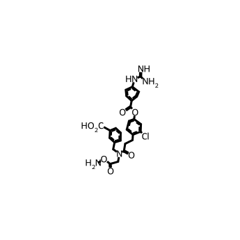 N=C(N)Nc1ccc(C(=O)Oc2ccc(CCC(=O)N(CC(=O)ON)Cc3cccc(C(=O)O)c3)c(Cl)c2)cc1